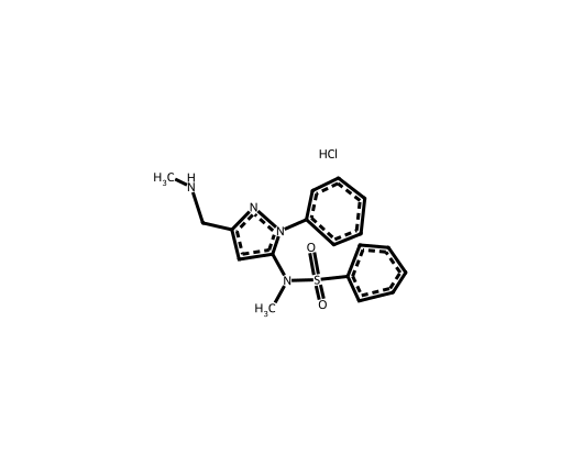 CNCc1cc(N(C)S(=O)(=O)c2ccccc2)n(-c2ccccc2)n1.Cl